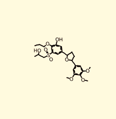 CCCOc1c(O)cc(C2CCC(c3cc(OC)c(OC)c(OC)c3)O2)cc1S(=O)(=O)CC(C)O